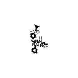 Cc1cc(Nc2nc(Sc3ccc(NC(=O)C4CC4)cc3)nc(-c3ccccc3)n2)n[nH]1